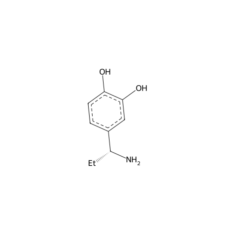 CC[C@@H](N)c1ccc(O)c(O)c1